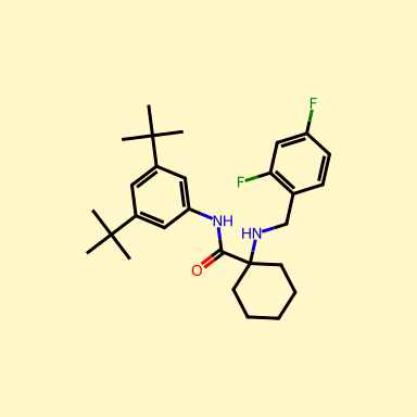 CC(C)(C)c1cc(NC(=O)C2(NCc3ccc(F)cc3F)CCCCC2)cc(C(C)(C)C)c1